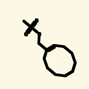 CS(=O)(=O)OCC1=CCCCCCCCC1